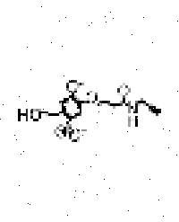 C#CCNC(=O)CCCOc1cc([N+](=O)[O-])c(CCO)cc1OC